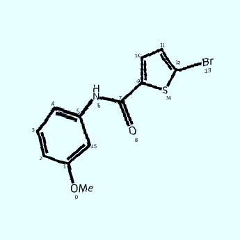 COc1cccc(NC(=O)c2ccc(Br)s2)c1